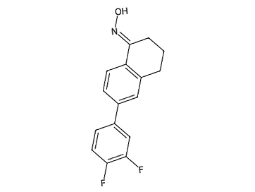 ON=C1CCCc2cc(-c3ccc(F)c(F)c3)ccc21